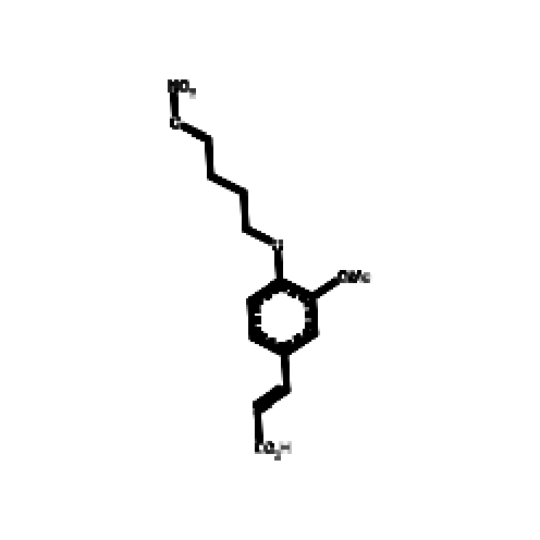 COc1cc(/C=C/C(=O)O)ccc1OCCCCO[N+](=O)[O-]